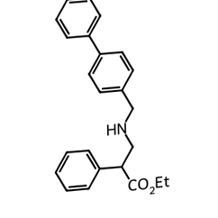 CCOC(=O)C(CNCc1ccc(-c2ccccc2)cc1)c1ccccc1